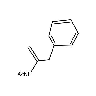 C=C(Cc1ccccc1)NC(C)=O